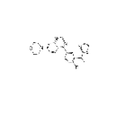 CC(c1nccs1)c1cc(-c2ncnc3cc(N4CCOCC4)ccc23)ccc1F